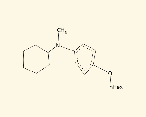 CCCCCCOc1ccc(N(C)C2CCCCC2)cc1